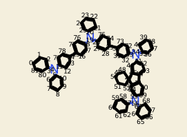 c1ccc(N(c2ccccc2)c2ccc(-c3ccc(N(c4ccccc4)c4ccc(-c5ccc(N(c6ccccc6)c6ccc7c(c6)C6(CCCCC6)c6cc(N(c8ccccc8)c8ccccc8)ccc6-7)cc5)cc4)cc3)cc2)cc1